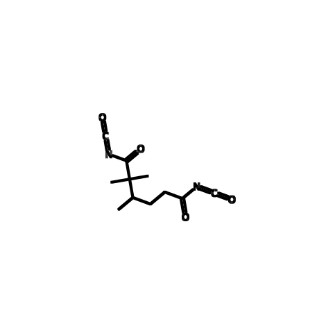 CC(CCC(=O)N=C=O)C(C)(C)C(=O)N=C=O